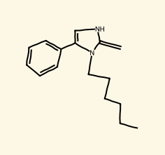 C=C1NC=C(c2ccccc2)N1CCCCCC